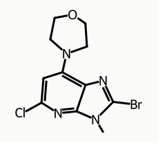 Cn1c(Br)nc2c(N3CCOCC3)cc(Cl)nc21